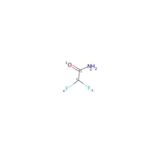 NC(=O)C(F)F